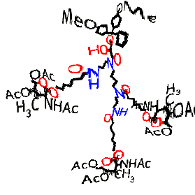 COc1ccc(C(OCC(O)C(=O)N(CCCCN(CCCNC(=O)CCCCCCO[C@@H]2OC(COC(C)=O)[C@H](OC(C)=O)[C@H](C)C2NC(C)=O)C(=O)CCCCCCO[C@@H]2OC(COC(C)=O)[C@H](OC(C)=O)[C@H](C)C2NC(C)=O)CCCNC(=O)CCCCCCO[C@@H]2OC(COC(C)=O)[C@H](OC(C)=O)[C@H](C)C2NC(C)=O)(c2ccccc2)c2ccc(OC)cc2)cc1